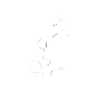 CN1CC[C@@](O)(C#Cc2cccc(-n3nc(C(N)=O)c4c3CCCC4(F)F)c2)C1=O